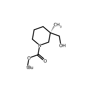 CC(C)(C)OC(=O)N1CCC[C@@](C)(CO)C1